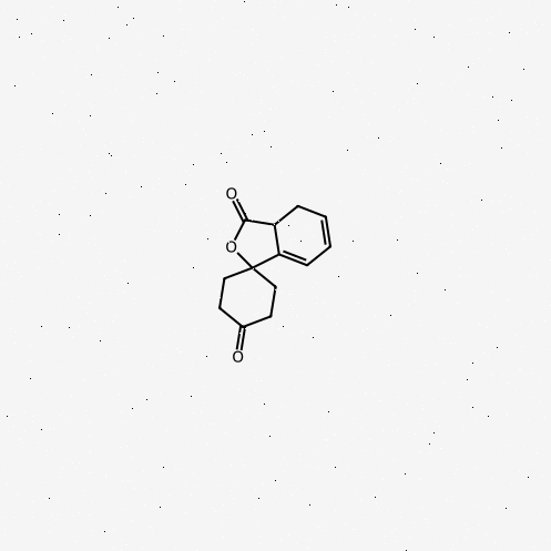 O=C1CCC2(CC1)OC(=O)C1CC=CC=C12